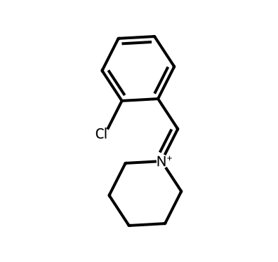 Clc1ccccc1C=[N+]1CCCCC1